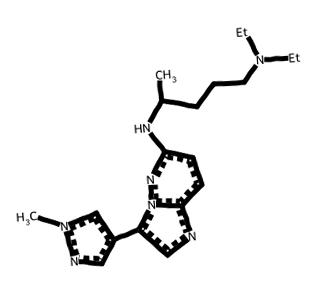 CCN(CC)CCCC(C)Nc1ccc2ncc(-c3cnn(C)c3)n2n1